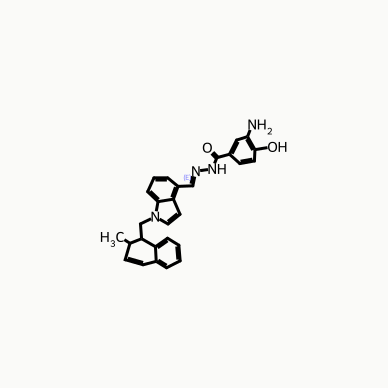 CC1C=Cc2ccccc2C1Cn1ccc2c(/C=N/NC(=O)c3ccc(O)c(N)c3)cccc21